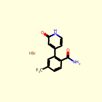 Br.NC(=O)c1ccc(C(F)(F)F)cc1-c1cc[nH]c(=O)c1